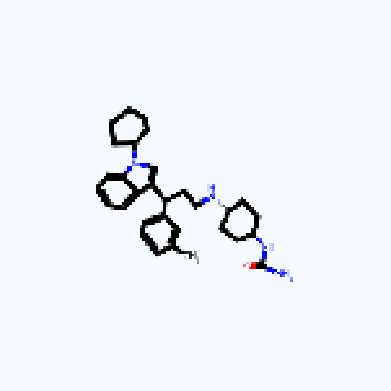 Cc1cccc(C(CCN[C@H]2CC[C@H](NC(N)=O)CC2)c2cn(C3CCCCC3)c3ccccc23)c1